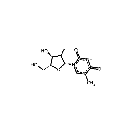 Cc1cn([C@@H]2O[C@H](CO)[C@@H](O)C2I)c(=O)[nH]c1=O